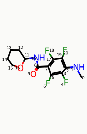 CNc1c(F)c(F)c(C(=O)NC2CCCCO2)c(F)c1F